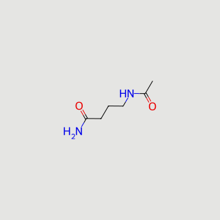 CC(=O)NCCCC(N)=O